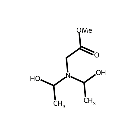 COC(=O)CN(C(C)O)C(C)O